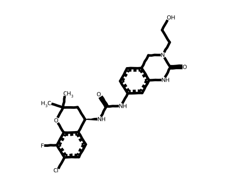 CC1(C)C[C@@H](NC(=O)Nc2ccc3c(c2)NC(=O)N(CCO)C3)c2ccc(Cl)c(F)c2O1